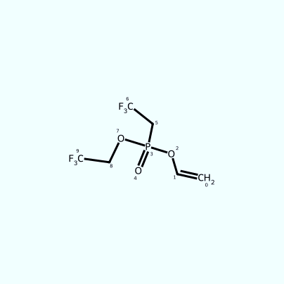 C=COP(=O)(CC(F)(F)F)OCC(F)(F)F